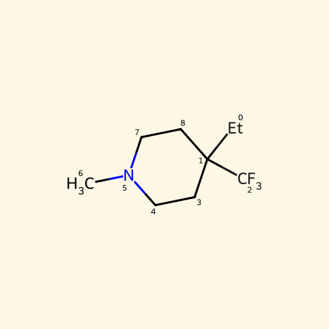 CCC1(C(F)(F)F)CCN(C)CC1